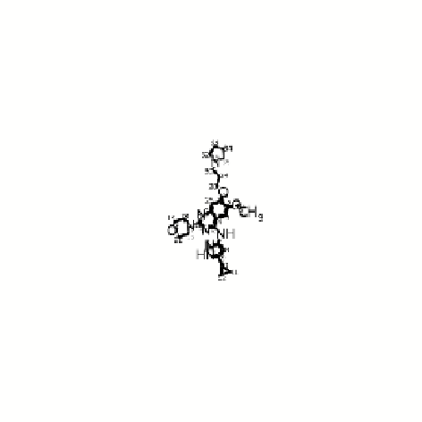 COc1cc2c(Nc3cc(C4CC4)[nH]n3)nc(N3CCOCC3)nc2cc1OCCCN1CCCC1